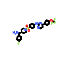 N[C@H](c1ccc(F)cc1)C1CCN(S(=O)(=O)c2ccc(Nc3nccc(-c4ccc(OC(F)(F)F)cc4)n3)cc2)CC1